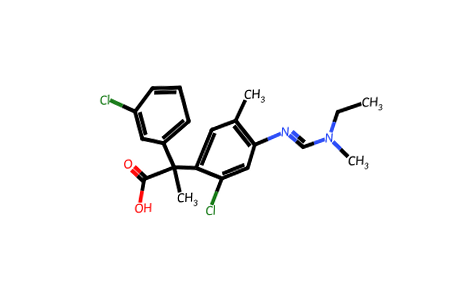 CCN(C)C=Nc1cc(Cl)c(C(C)(C(=O)O)c2cccc(Cl)c2)cc1C